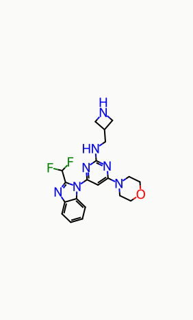 FC(F)c1nc2ccccc2n1-c1cc(N2CCOCC2)nc(NCC2CNC2)n1